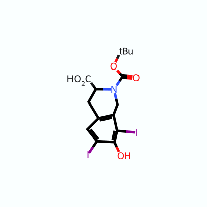 CC(C)(C)OC(=O)N1Cc2c(cc(I)c(O)c2I)CC1C(=O)O